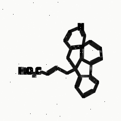 CCOC(=O)C=CCC1(Cc2ccncc2)c2ccccc2-c2ccccc21